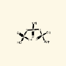 O=P(O)(O)OP(=O)(O)O[P](=O)(O)[AlH]